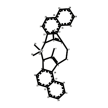 CC1=C2CCC3=C(C)[CH](c4ccc5ccccc5c43)[Zr]([CH3])([CH3])[CH]1c1ccc3ccccc3c12